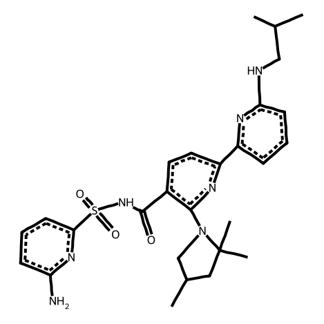 CC(C)CNc1cccc(-c2ccc(C(=O)NS(=O)(=O)c3cccc(N)n3)c(N3CC(C)CC3(C)C)n2)n1